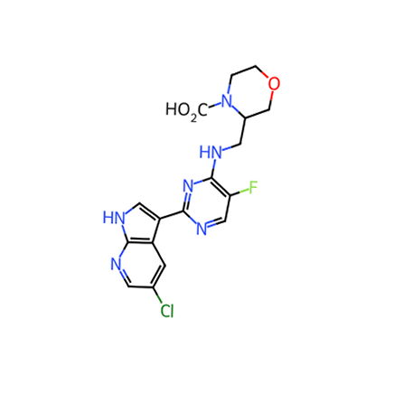 O=C(O)N1CCOCC1CNc1nc(-c2c[nH]c3ncc(Cl)cc23)ncc1F